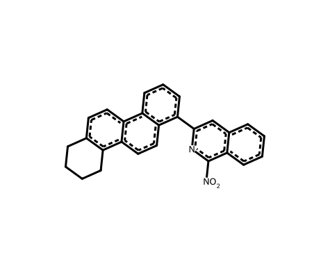 O=[N+]([O-])c1nc(-c2cccc3c2ccc2c4c(ccc23)CCCC4)cc2ccccc12